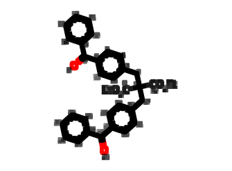 CCOC(=O)C(Cc1ccc(C(=O)c2ccccc2)cc1)(Cc1ccc(C(=O)c2ccccc2)cc1)C(=O)OCC